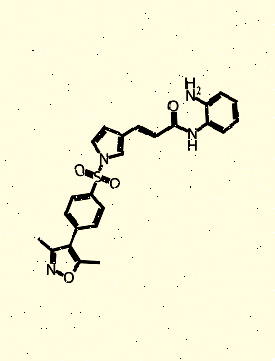 Cc1noc(C)c1-c1ccc(S(=O)(=O)n2ccc(C=CC(=O)Nc3ccccc3N)c2)cc1